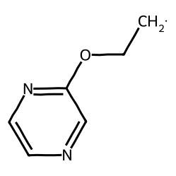 [CH2]COc1cnccn1